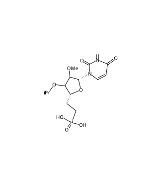 COC1C(OC(C)C)[C@@H](CCP(=O)(O)O)O[C@H]1n1ccc(=O)[nH]c1=O